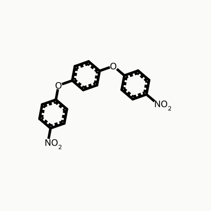 O=[N+]([O-])c1ccc(Oc2ccc(Oc3ccc([N+](=O)[O-])cc3)cc2)cc1